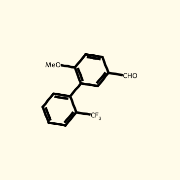 COc1ccc(C=O)cc1-c1ccccc1C(F)(F)F